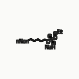 CCCCCCCCCCCCCCOS(=O)(=O)OOCC.[NaH]